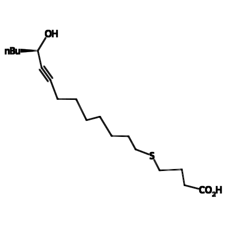 CCCC[C@@H](O)C#CCCCCCCCSCCCC(=O)O